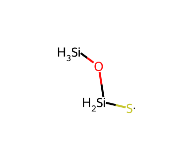 [SiH3]O[SiH2][S]